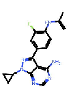 C=C(C)Nc1ccc(-c2nn(C3CC3)c3ncnc(N)c23)cc1F